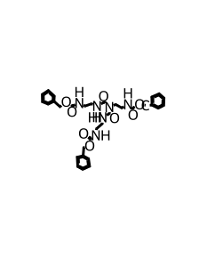 O=C(NCCNC(=O)N(CCNC(=O)OCc1ccccc1)C(=O)NCCNC(=O)OCc1ccccc1)OCc1ccccc1